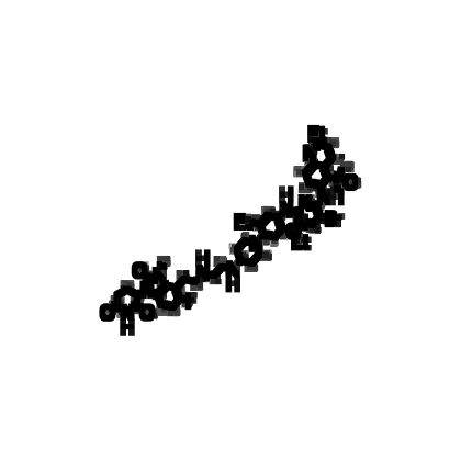 CCOc1cc(N2CCC(NCCNCCc3c(F)ccc4c3n(C)c(=O)n4C3CCC(=O)NC3=O)CC2)c(CC)cc1Nc1ncc(Br)c(Nc2ccc3nc(CC)ccc3c2P(C)(C)=O)n1